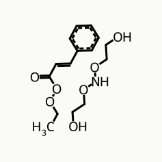 CCOOC(=O)C=Cc1ccccc1.OCCONOCCO